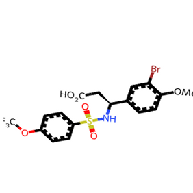 COc1ccc([C@H](CC(=O)O)NS(=O)(=O)c2ccc(OC(F)(F)F)cc2)cc1Br